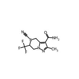 Cc1nn2c(c1C(N)=O)CB(C#N)C(C(F)(F)F)C2